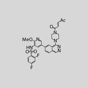 COc1ncc(-c2ccc3cnnc(N4CCN(C(=O)C=CC(C)=O)CC4)c3c2)cc1NS(=O)(=O)c1ccc(F)cc1F